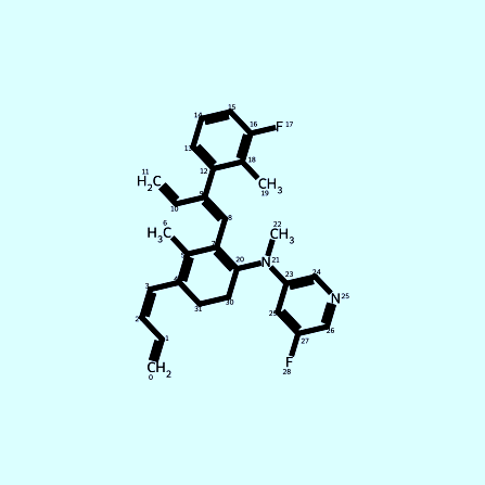 C=C/C=C\C1=C(C)C(/C=C(\C=C)c2cccc(F)c2C)=C(N(C)c2cncc(F)c2)CC1